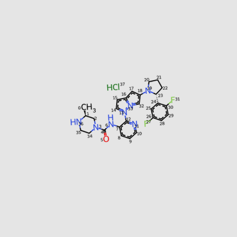 C[C@H]1CN(C(=O)Nc2cccnc2-n2ccc3cc(N4CCC[C@@H]4c4cc(F)ccc4F)cn32)CCN1.Cl